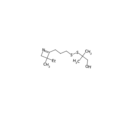 CCC1(C)CN=C1CCCSSC(C)(C)CO